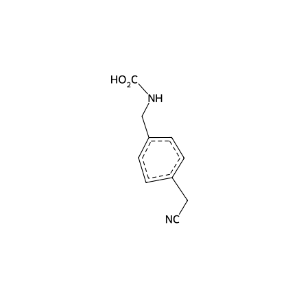 N#CCc1ccc(CNC(=O)O)cc1